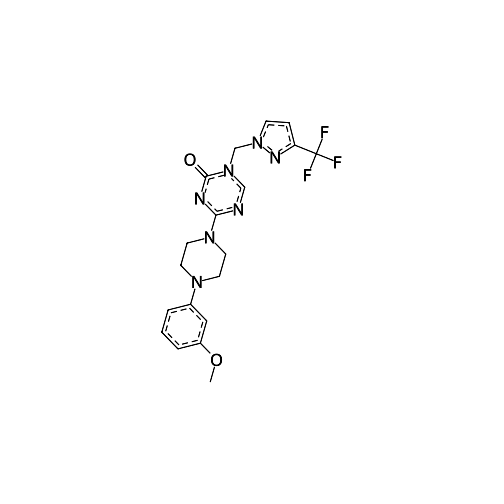 COc1cccc(N2CCN(c3ncn(Cn4ccc(C(F)(F)F)n4)c(=O)n3)CC2)c1